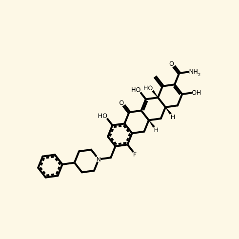 C=C1C(C(N)=O)=C(O)C[C@@H]2C[C@@H]3Cc4c(F)c(CN5CCC(c6ccccc6)CC5)cc(O)c4C(=O)C3=C(O)[C@]12O